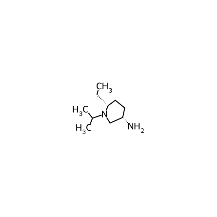 CC[C@@H]1CC[C@H](N)CN1C(C)C